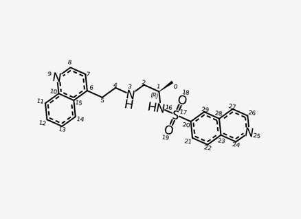 C[C@H](CNCCc1ccnc2ccccc12)NS(=O)(=O)c1ccc2cnccc2c1